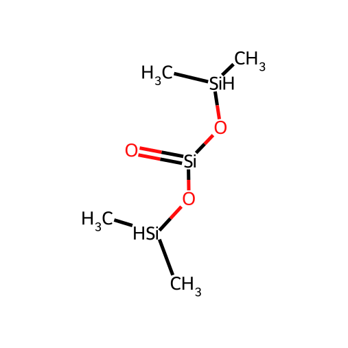 C[SiH](C)O[Si](=O)O[SiH](C)C